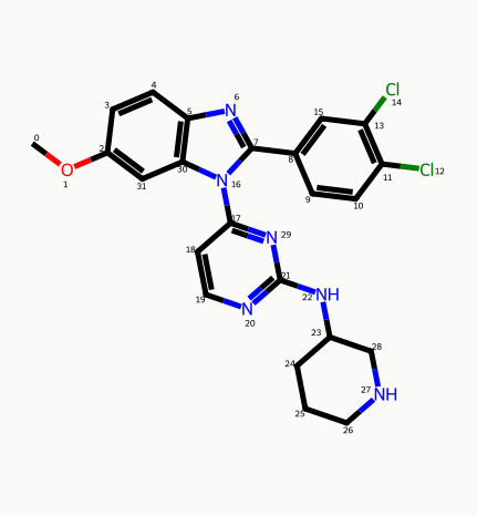 COc1ccc2nc(-c3ccc(Cl)c(Cl)c3)n(-c3ccnc(NC4CCCNC4)n3)c2c1